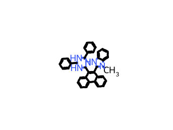 CN1c2ccccc2NC1c1c(C2N=C(c3ccccc3)NC(c3ccccc3)N2)c2ccccc2c2ccccc12